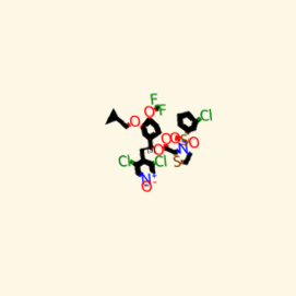 O=C(O[C@@H](Cc1c(Cl)c[n+]([O-])cc1Cl)c1ccc(OC(F)F)c(OCC2CC2)c1)C1SCCN1S(=O)(=O)c1cccc(Cl)c1